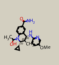 COc1ccc(N[C@H]2c3cc(C(N)=O)ccc3N(C(C)O)[C@@H](C3CC3)[C@@H]2C)nc1